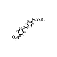 CCOC(=O)Cc1ccc(CSc2ccc([N+](=O)[O-])cc2)cc1